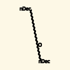 CCCCCCCCCCCCCCCCCCCCCCCCCCCCCCC(=O)CCCCCCCCCCCCCCCCCC